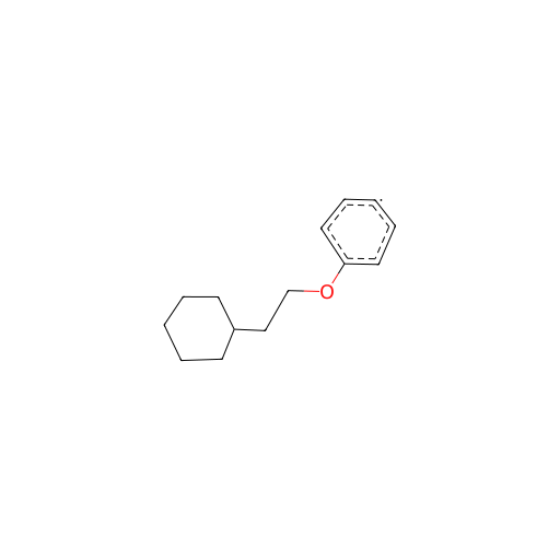 [c]1ccc(OCCC2CCCCC2)cc1